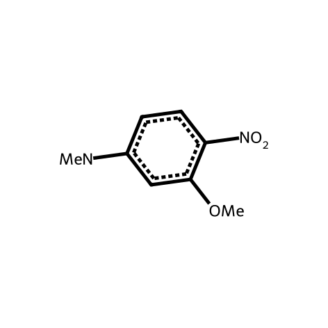 CNc1ccc([N+](=O)[O-])c(OC)c1